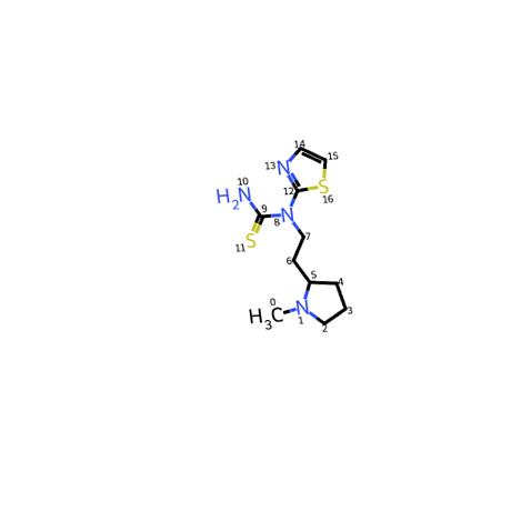 CN1CCCC1CCN(C(N)=S)c1nccs1